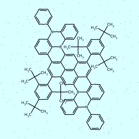 CC(C)(C)c1cc(C(C)(C)C)c(-c2cc3c4c(cc5c(-c6c(C(C)(C)C)cc(C(C)(C)C)cc6C(C)(C)C)cc6c7c(cc2c4c57)B2c4ccccc4N(c4ccccc4)c4cccc-6c42)B2c4ccccc4N(c4ccccc4)c4cccc-3c42)c(C(C)(C)C)c1